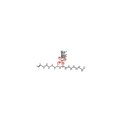 C=CCCCCCCCCCCCCCCCC.O=P([O-])([O-])[O-].[Na+].[Na+].[Na+]